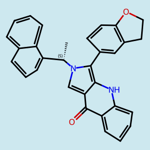 C[C@@H](c1cccc2ccccc12)n1cc2c(=O)c3ccccc3[nH]c2c1-c1ccc2c(c1)CCO2